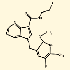 COC1NC(C)=C(F)C=C1Cn1cc(C(=O)NCCF)c2ncccc21